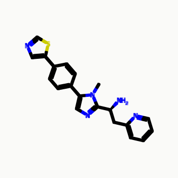 Cn1c(-c2ccc(-c3cncs3)cc2)cnc1[C@@H](N)Cc1ccccn1